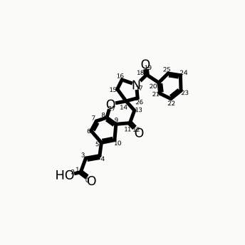 O=C(O)/C=C/c1ccc2c(c1)C(=O)CC1(CCN(C(=O)c3ccccc3)C1)O2